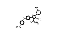 CC(C)Oc1ccc(Oc2ccc(-c3nn(C4CCCN(C#N)C4)c(N)c3C(N)=O)cc2)cc1